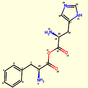 N[C@@H](Cc1ccccc1)C(=O)OC(=O)[C@@H](N)Cc1cnc[nH]1